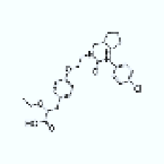 CCOC(Cc1ccc(OCCN(CC2CCCC2)C(=O)Nc2ccc(Cl)cc2)cc1)C(=O)O